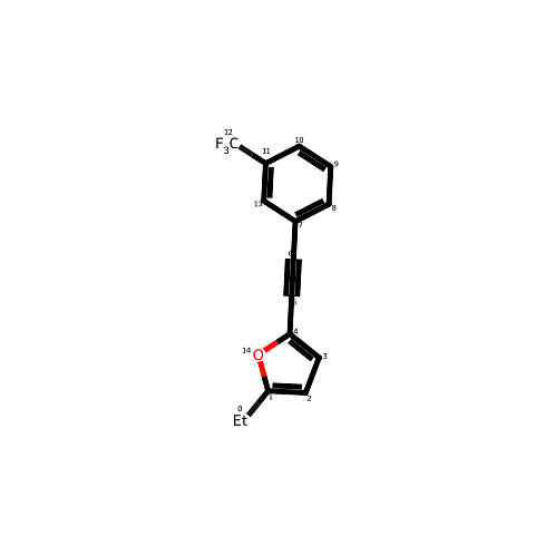 CCc1ccc(C#Cc2cccc(C(F)(F)F)c2)o1